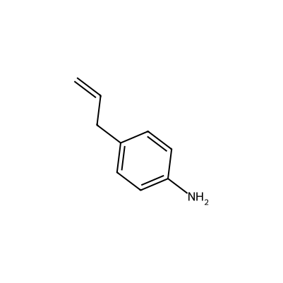 C=CCc1ccc(N)cc1